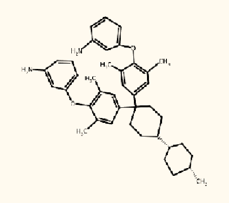 Cc1cc(C2(c3cc(C)c(Oc4cccc(N)c4)c(C)c3)CCC([C@H]3CC[C@@H](C)CC3)CC2)cc(C)c1Oc1cccc(N)c1